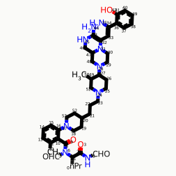 CCCC(C(=O)NC=O)N(C=O)C(=O)c1c(C)cccc1N1CCC(CCCN2CCC(N3CCN4C(/C=C(\N)c5ccccc5O)=C(N)NCC4C3)C(C)C2)CC1